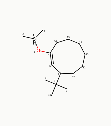 C[SiH](C)OC1=CC(C(C)(C)C)CCCCCC1